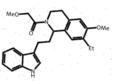 CCc1cc2c(cc1OC)CCN(C(=O)COC)C2CCc1c[nH]c2ccccc12